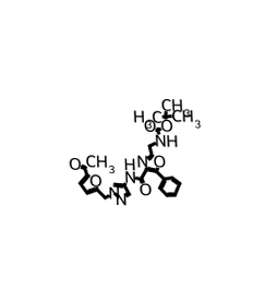 CC(=O)c1ccc(Cn2cc(NC(=O)c3nc(CNC(=O)OC(C)(C)C)oc3-c3ccccc3)cn2)o1